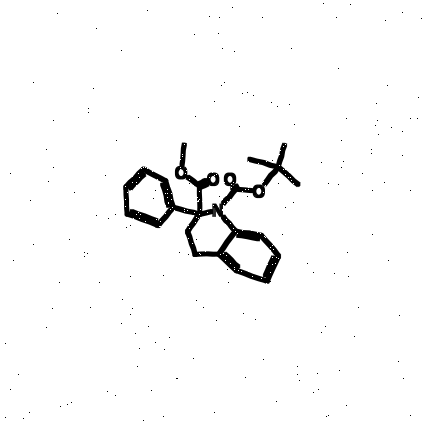 COC(=O)C1(c2ccccc2)CCc2ccccc2N1C(=O)OC(C)(C)C